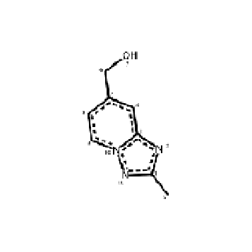 Cc1nc2cc(CO)ccn2n1